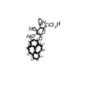 O=C(O)[C@H]1O[C@@H](Oc2ccc3ccc4cccc5ccc2c3c45)[C@H](O)[C@@H](O)[C@@H]1O